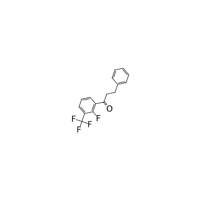 O=C(CCc1ccccc1)c1cccc(C(F)(F)F)c1F